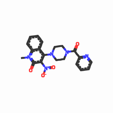 Cn1c(=O)c([N+](=O)[O-])c(N2CCN(C(=O)c3ccccn3)CC2)c2ccccc21